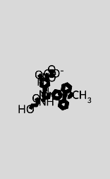 C/C=C/[P+](c1ccccc1)(c1ccccc1)c1ccccc1.O=C(CCO)Nc1ccn(C2=CC3CN(C2)C(=O)N3OS(=O)(=O)[O-])n1